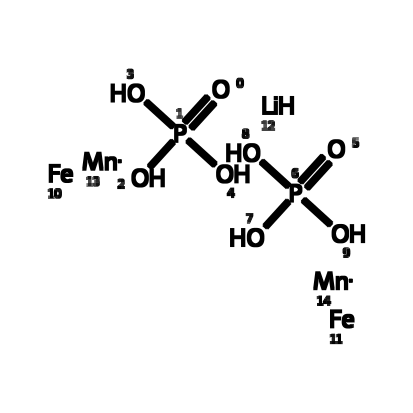 O=P(O)(O)O.O=P(O)(O)O.[Fe].[Fe].[LiH].[Mn].[Mn]